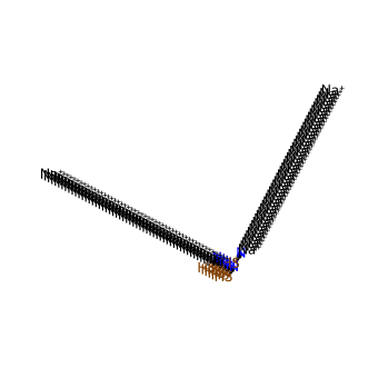 N#CS.N#CS.N#CS.N#CS.N#CS.N#CS.N#CS.[Na+].[Na+].[Na+].[Na+].[Na+].[Na+].[Na+].[Na+].[Na+].[Na+].[Na+].[Na+].[Na+].[Na+].[Na+].[Na+].[Na+].[Na+].[Na+].[Na+].[Na+].[Na+].[Na+].[Na+].[Na+].[Na+].[Na+].[Na+].[Na+].[Na+].[Na+].[Na+].[Na+].[Na+].[Na+].[Na+].[Na+].[Na+].[Na+].[Na+].[Na+].[Na+].[Na+].[Na+].[Na+].[Na+].[Na+].[Na+].[Na+].[Na+].[Na+].[Na+].[Na+].[Na+].[Na+].[Na+].[Na+].[Na+].[Na+].[Na+].[Na+].[Na+].[Na+].[Na+].[Na+].[Na+].[Na+].[Na+].[Na+].[Na+].[Na+].[Na+].[Na+].[Na+].[Na+].[Na+].[Na+].[Na+].[Na+].[Na+].[Na+].[Na+].[Na+].[Na+].[Na+].[Na+].[Na+].[Na+].[Na+].[Na+].[Na+].[Na+].[Na+].[Na+].[Na+].[Na+].[Na+].[Na+]